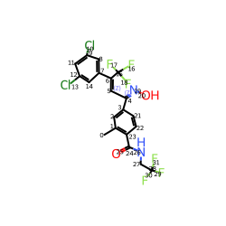 Cc1cc(C(/C=C(/c2cc(Cl)cc(Cl)c2)C(F)(F)F)=N\O)ccc1C(=O)NCC(F)(F)F